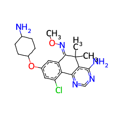 CO/N=C1\c2cc(OC3CCC(N)CC3)cc(Cl)c2-c2ncnc(N)c2C1(C)C